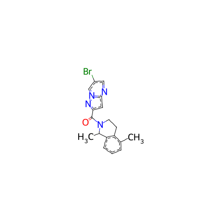 Cc1cccc2c1CCN(C(=O)c1cc3ncc(Br)cn3n1)C2C